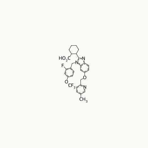 Cc1ccc(COc2ccc3nc(C4CCCCC4C(=O)O)n(Cc4ccc(OC(F)(F)F)cc4F)c3c2)nc1